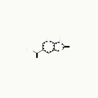 CC(=O)c1cnc2[nH]c(=O)oc2c1